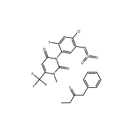 CCC(=S)Cc1ccccc1.Cn1c(C(F)(F)F)cc(=O)n(-c2cc(N=S(=O)=O)c(Cl)cc2F)c1=O